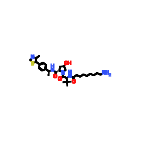 Cc1ncsc1-c1ccc([C@H](C)NC(=O)[C@@H]2C[C@@H](O)CN2C(=O)[C@@H](NC(=O)CCCCCCCCN)C(C)(C)C)cc1